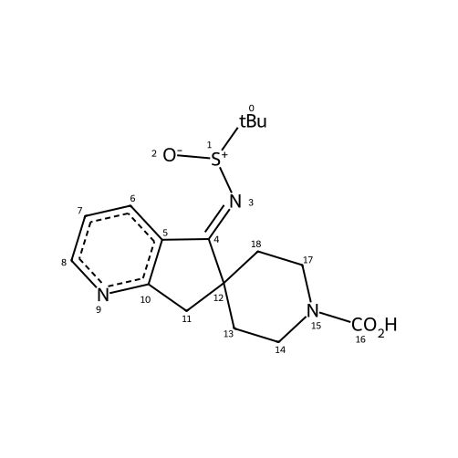 CC(C)(C)[S+]([O-])/N=C1\c2cccnc2CC12CCN(C(=O)O)CC2